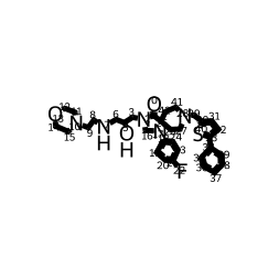 O=C1N(C[C@@H](O)CNCCN2CCOCC2)CN(c2ccc(F)cc2)C12CCN(Cc1ccc(-c3ccccc3)s1)CC2